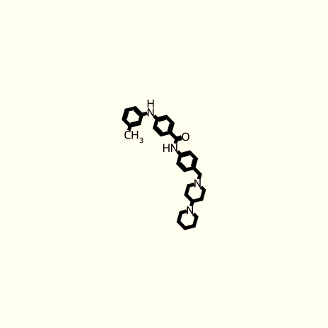 Cc1cccc(Nc2ccc(C(=O)Nc3ccc(CN4CCC(N5CCCCC5)CC4)cc3)cc2)c1